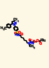 Cc1ccc(-c2cc(C(F)(F)F)nn2-c2ccc(S(=O)(=O)NC(=O)CCCCCN(C)[N+]([O-])=NOCOC(=O)C(C)(C)C)cc2)cc1